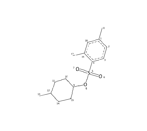 Cc1ccc(S(=O)(=O)OC2CCC(C)CC2)c(C)c1